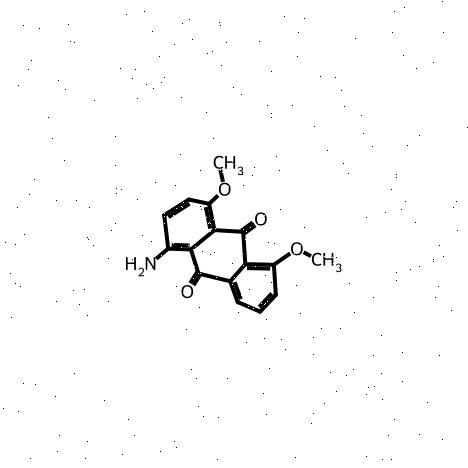 COc1cccc2c1C(=O)c1c(OC)ccc(N)c1C2=O